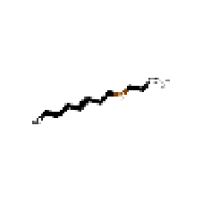 CCC=CCC=CCCSCCC(=O)O